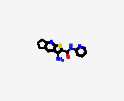 Nc1c(C(=O)Nc2ccccn2)sc2nc3c(cc12)CCC3